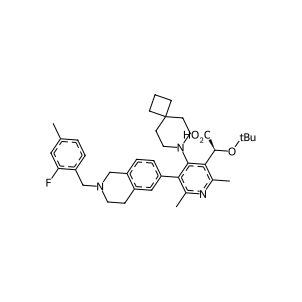 Cc1ccc(CN2CCc3cc(-c4c(C)nc(C)c([C@H](OC(C)(C)C)C(=O)O)c4N4CCC5(CCC5)CC4)ccc3C2)c(F)c1